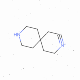 C1#[N+]CCC2(C1)CCNCC2